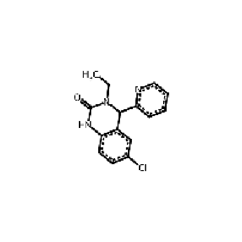 CCN1C(=O)Nc2ccc(Cl)cc2C1c1ccccn1